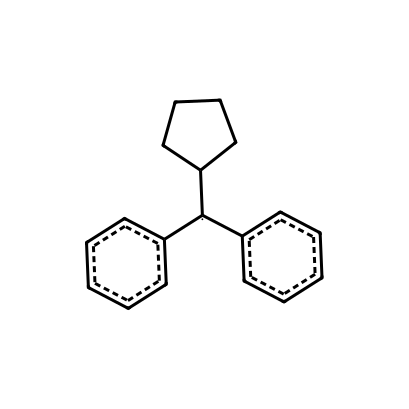 c1ccc([C](c2ccccc2)C2CCCC2)cc1